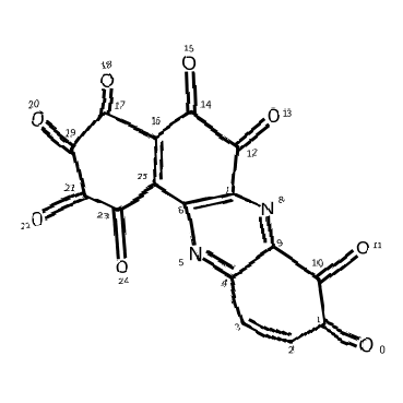 O=c1ccc2nc3c(nc2c1=O)c(=O)c(=O)c1c(=O)c(=O)c(=O)c(=O)c13